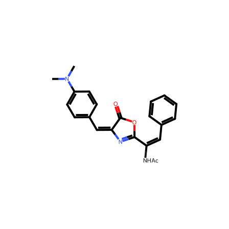 CC(=O)N/C(=C/c1ccccc1)C1=N/C(=C/c2ccc(N(C)C)cc2)C(=O)O1